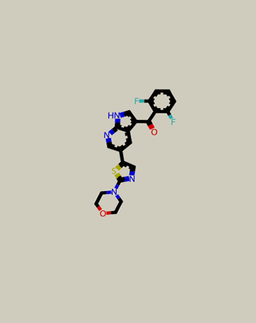 O=C(c1c(F)cccc1F)c1c[nH]c2ncc(-c3cnc(N4CCOCC4)s3)cc12